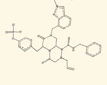 C=CCN1CC(=O)N2C(Cc3ccc(OP(=O)([O-])[O-])cc3)C(=O)N(Cc3cccc4cn(C)nc34)CC2N1C(=O)NCc1ccccc1.[Na+].[Na+]